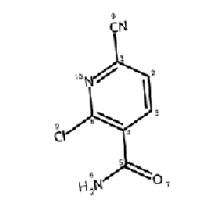 N#Cc1ccc(C(N)=O)c(Cl)n1